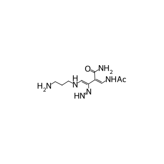 CC(=O)N/C=C(C(N)=O)/C(=C/NCCCN)N=N